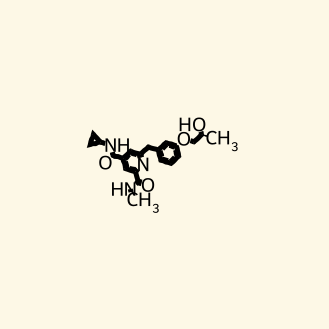 CNC(=O)c1cc(C(=O)NC2CC2)cc(Cc2cccc(OC[C@@H](C)O)c2)n1